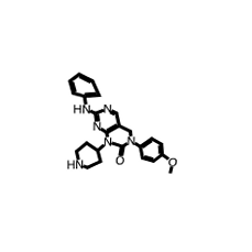 COc1ccc(N2Cc3cnc(Nc4ccccc4)nc3N(C3CCNCC3)C2=O)cc1